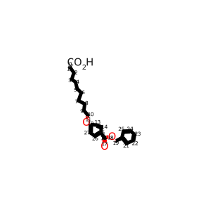 O=C(O)CCCCCCCCCCOc1ccc(C(=O)OCc2ccccc2)cc1